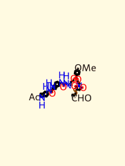 COc1ccc(C(OCC/C(C)=N\NC(=O)Nc2ccc3[nH]c(C(=O)Nc4ccc5[nH]c(C(C)=O)cc5c4)cc3c2)OCCN2C(=O)CC(SC[C@@H](C)C=O)C2=O)cc1